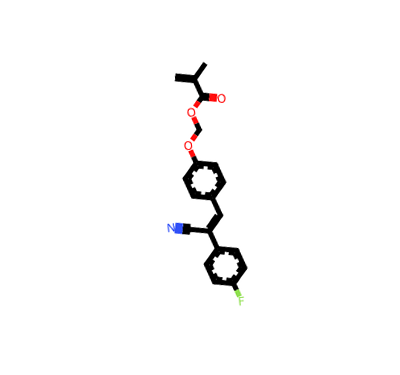 C=C(C)C(=O)OCOc1ccc(/C=C(\C#N)c2ccc(F)cc2)cc1